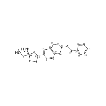 N[C@]1(CO)CC[C@@H](c2ccc3c(c2)CCC(CSc2ccccc2)C3)C1